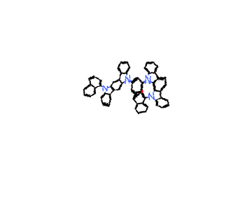 c1cc(-n2c3ccccc3c3cc4c(cc32)c2ccccc2n4-c2cccc3ccccc23)cc(-n2c3ccccc3c3ccc4c5ccccc5n(-c5cccc6ccccc56)c4c32)c1